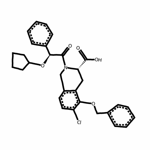 O=C(O)[C@@H]1Cc2c(ccc(Cl)c2OCc2ccccc2)CN1C(=O)[C@@H](OC1CCCC1)c1ccccc1